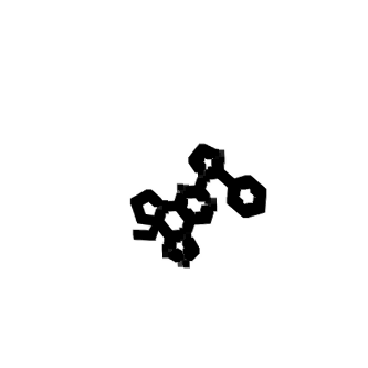 CC[C@@]12CCCN1c1nc(-n3ccnc3-c3ccccc3)ncc1-n1cnnc12